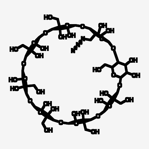 [N-]=[N+]=NCC1OC2OC3C(CO)OC(OC4C(CO)OC(OC5C(CO)OC(OC6C(CO)OC(OC7C(CO)OC(OC8C(CO)OC(OC9C(CO)OC(OC1C(O)C2O)C(O)C9O)C(O)C8O)C(O)C7O)C(O)C6O)C(O)C5O)C(O)C4O)C(O)C3O